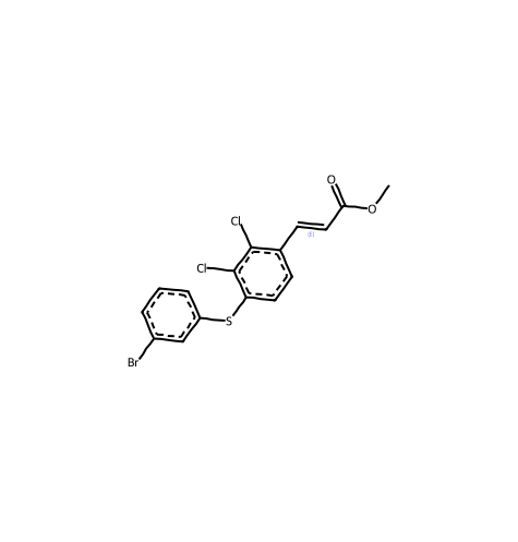 COC(=O)/C=C/c1ccc(Sc2cccc(Br)c2)c(Cl)c1Cl